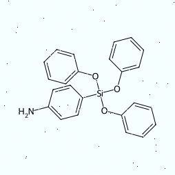 Nc1ccc([Si](Oc2ccccc2)(Oc2ccccc2)Oc2ccccc2)cc1